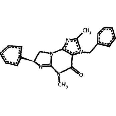 Cc1nc2c(n1Cc1ccccc1)C(=O)N(C)C1=N[C@@H](c3ccccc3)CN12